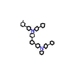 CC1C=C(c2ccc(N(C3=CC=C(c4cccc(-c5ccc(N(c6ccccc6)c6ccc(-c7ccccc7)cc6)cc5)c4)CC3)c3ccc(-c4ccccc4)cc3)cc2)C=CC1